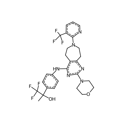 CC(O)(c1ccc(Nc2nc(N3CCOCC3)nc3c2CCN(c2ncccc2C(F)(F)F)CC3)cc1)C(F)(F)F